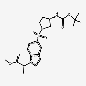 COC(=O)C(C)n1ccc2cc(S(=O)(=O)N3CC[C@@H](NC(=O)OC(C)(C)C)C3)ccc21